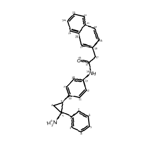 NC1(c2ccccc2)C[C@H]1c1ccc(NC(=O)Cc2ccc3ccccc3c2)cc1